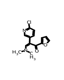 CN(C)/C=C(\C(=O)c1ccco1)c1ccc(Cl)nc1